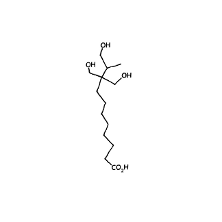 CC(CO)C(CO)(CO)CCCCCCCC(=O)O